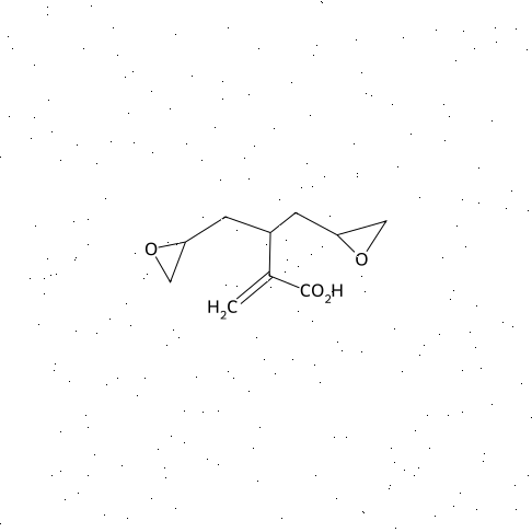 C=C(C(=O)O)C(CC1CO1)CC1CO1